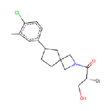 CC[C@H](CO)C(=O)N1CC2(CCC(c3ccc(Cl)c(C)c3)C2)C1